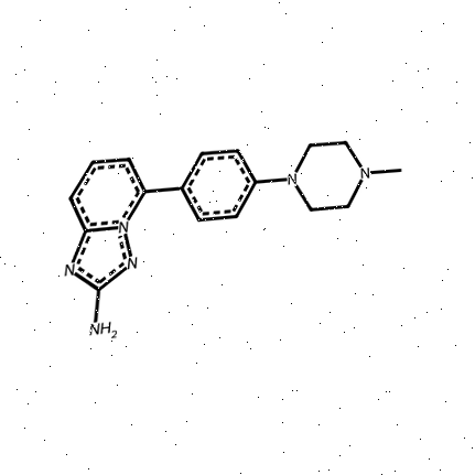 CN1CCN(c2ccc(-c3cccc4nc(N)nn34)cc2)CC1